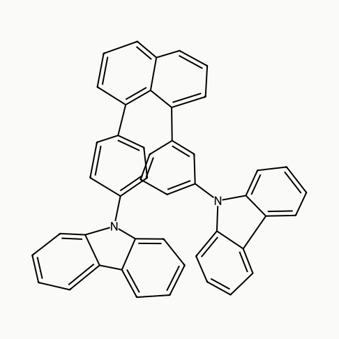 c1cc(-c2cccc3cccc(-c4ccc(-n5c6ccccc6c6ccccc65)cc4)c23)cc(-n2c3ccccc3c3ccccc32)c1